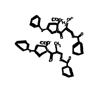 CC(CSC(=O)c1ccccc1)C(=O)N1CC(Sc2ccccc2)C[C@H]1C(=O)[O-].CC(CSC(=O)c1ccccc1)C(=O)N1C[C@@H](Sc2ccccc2)C[C@H]1C(=O)[O-].[Ca+2]